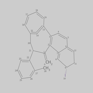 C=C1c2c(ccc3c2=C[C@@H](I)CC=3)C2=C=C(C=CC=C2)CC1c1ccccc1C